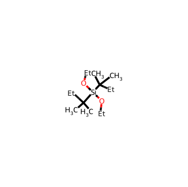 CCO[Si](OCC)(C(C)(C)CC)C(C)(C)CC